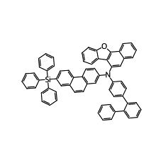 c1ccc(-c2ccccc2-c2ccc(N(c3ccc4c(ccc5cc([Si](c6ccccc6)(c6ccccc6)c6ccccc6)ccc54)c3)c3cc4ccccc4c4oc5ccccc5c34)cc2)cc1